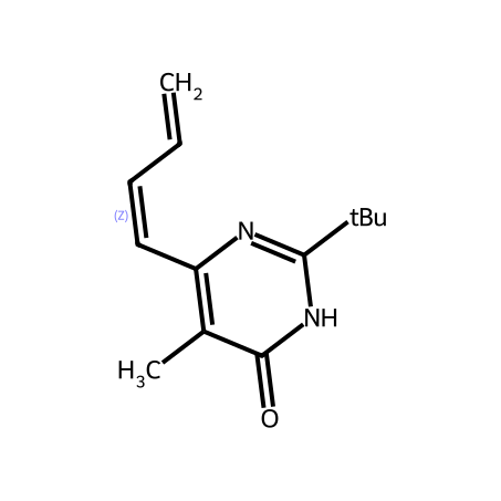 C=C/C=C\c1nc(C(C)(C)C)[nH]c(=O)c1C